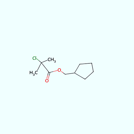 CC(C)(Cl)C(=O)OCC1CCCC1